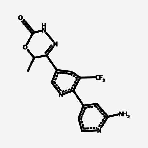 CC1OC(=O)NN=C1c1cnc(-c2ccnc(N)c2)c(C(F)(F)F)c1